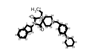 CCN1C(=O)N(C2Cc3ccccc3C2)C(=O)C12CCN(Cc1ccc(N3CCCCC3)cc1)CC2